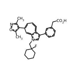 Cc1noc(C)c1C1=CC=C=c2c(-c3cccc(CC(=O)O)c3)cn(CC3(F)CCCCC3)c2=C1